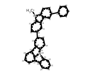 Cn1c2ccc(-c3ccccc3)cc2c2cc(-c3ccc4c(c3)c3cccc5c6ccccc6n4c53)ccc21